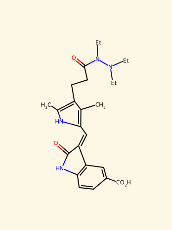 CCN(CC)N(CC)C(=O)CCc1c(C)[nH]c(C=C2C(=O)Nc3ccc(C(=O)O)cc32)c1C